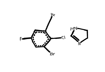 C1=NCCN1.Fc1cc(Br)c(Cl)c(Br)c1